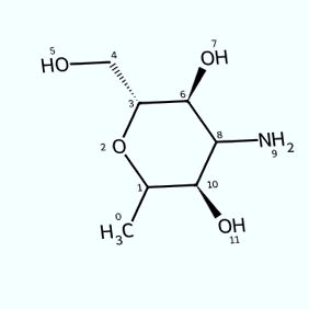 CC1O[C@H](CO)[C@@H](O)C(N)[C@H]1O